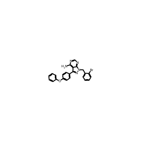 Nc1ncnc2c1c(-c1ccc(Oc3ccccc3)cc1)nn2Cc1ccccc1Br